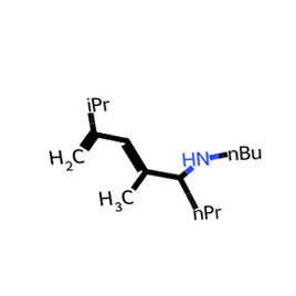 C=C(/C=C(\C)C(CCC)NCCCC)C(C)C